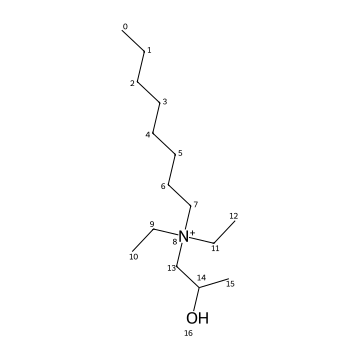 CCCCCCCC[N+](CC)(CC)CC(C)O